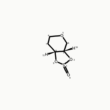 O=S1O[C@H]2COCC[C@H]2O1